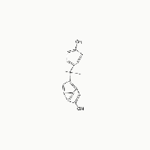 CC(C)(c1ccc(O)cc1)c1cc2c3c(O)cc1c23